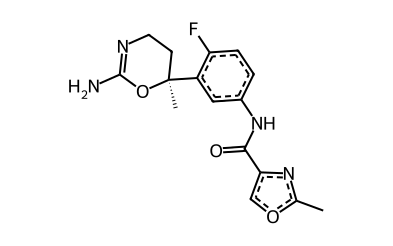 Cc1nc(C(=O)Nc2ccc(F)c([C@]3(C)CCN=C(N)O3)c2)co1